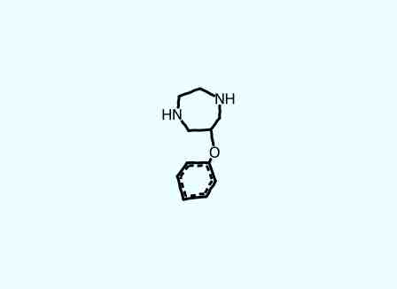 c1ccc(OC2CNCCNC2)cc1